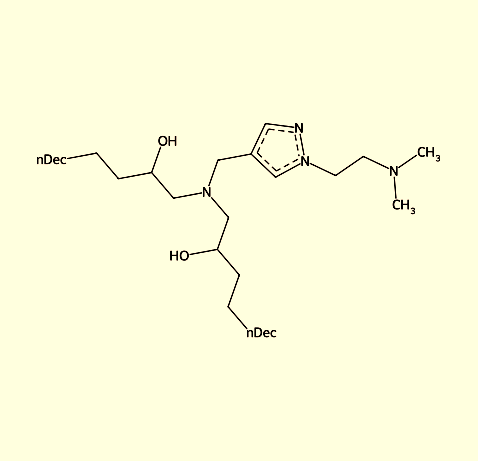 CCCCCCCCCCCCC(O)CN(Cc1cnn(CCN(C)C)c1)CC(O)CCCCCCCCCCCC